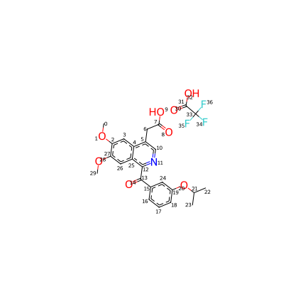 COc1cc2c(CC(=O)O)cnc(C(=O)c3cccc(OC(C)C)c3)c2cc1OC.O=C(O)C(F)(F)F